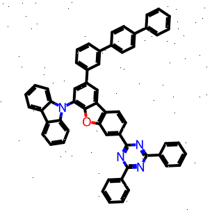 c1ccc(-c2ccc(-c3cccc(-c4cc(-n5c6ccccc6c6ccccc65)c5oc6cc(-c7nc(-c8ccccc8)nc(-c8ccccc8)n7)ccc6c5c4)c3)cc2)cc1